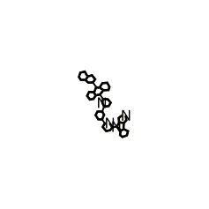 c1cc(-c2cccc(-c3c4ccccc4c(-c4ccc5ccccc5c4)c4ccccc34)n2)cc(-c2cccc(-n3c4ccccc4c4cnccc43)n2)c1